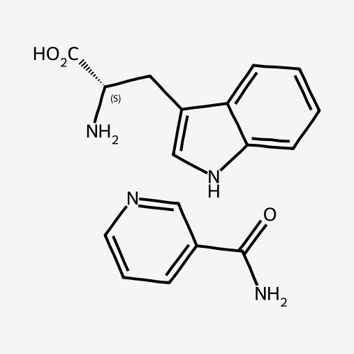 NC(=O)c1cccnc1.N[C@@H](Cc1c[nH]c2ccccc12)C(=O)O